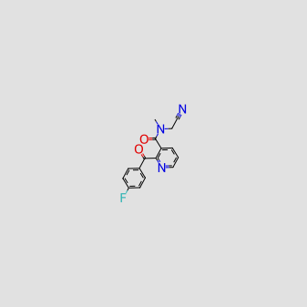 CN(CC#N)C(=O)c1cccnc1C(=O)c1ccc(F)cc1